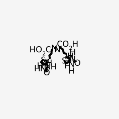 O=C1N[C@H]2[C@H](CS[C@H]2CCCC(N=NC(CCC[C@@H]2SC[C@@H]3NC(=O)N[C@@H]32)C(=O)O)C(=O)O)N1